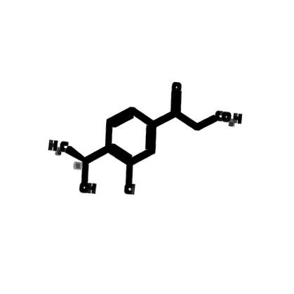 C[C@H](O)c1ccc(C(=O)CC(=O)O)cc1Cl